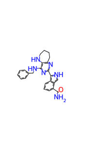 NC(=O)c1cccc2c(-c3nc4c(c(NCc5ccccc5)n3)NCCCC4)[nH]cc12